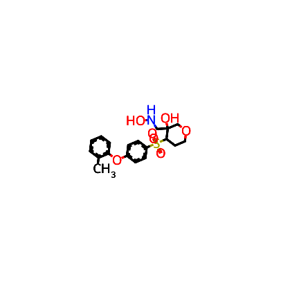 Cc1ccccc1Oc1ccc(S(=O)(=O)C2CCOCC2(O)C(=O)NO)cc1